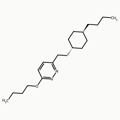 CCCCOc1ccc(CC[C@H]2CC[C@H](CCCC)CC2)nn1